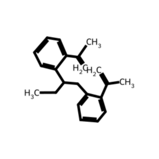 C=C(C)c1ccccc1CC(CC)c1ccccc1C(=C)C